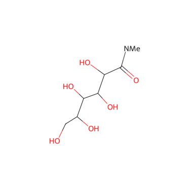 CNC(=O)C(O)C(O)C(O)C(O)CO